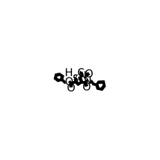 Cn1c(=O)n(CCc2ccccc2)c(=O)c2cc(C(=O)OCc3ccccc3)sc21